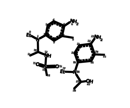 CCN(c1ccc(N)c(C)c1)C(C)NS(C)(=O)=O.CCN(c1ccc(N)c(C)c1)C(C)O